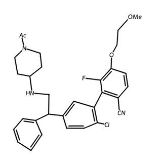 COCCOc1ccc(C#N)c(-c2cc(C(CNC3CCN(C(C)=O)CC3)c3ccccc3)ccc2Cl)c1F